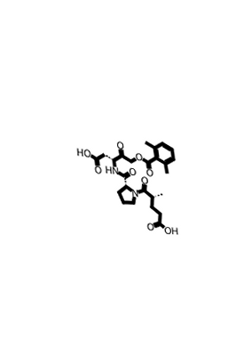 Cc1cccc(C)c1C(=O)OCC(=O)[C@@H](CC(=O)O)NC(=O)[C@H]1CCCN1C(=O)[C@H](C)CCC(=O)O